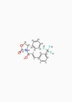 O=C(C=Cc1cccc(C(F)(F)F)c1)N1C(=O)OC[C@@H]1c1ccccc1